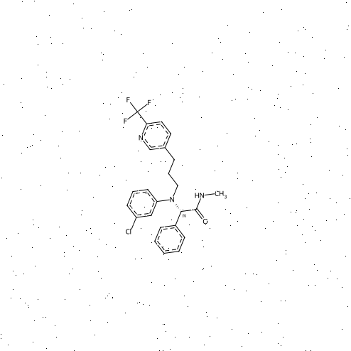 CNC(=O)[C@H](c1ccccc1)N(CCCc1ccc(C(F)(F)F)nc1)c1cccc(Cl)c1